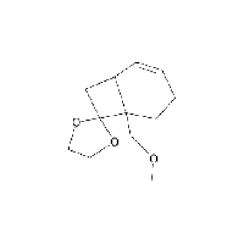 COCC12CCC=CC1CC21OCCO1